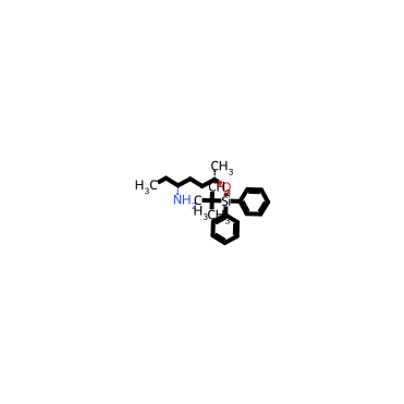 CC[C@@H](N)CC[C@H](C)O[Si](c1ccccc1)(c1ccccc1)C(C)(C)C